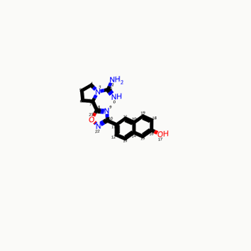 N=C(N)N1CCCC1c1nc(-c2ccc3cc(O)ccc3c2)no1